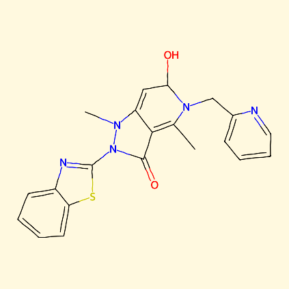 CC1=c2c(n(C)n(-c3nc4ccccc4s3)c2=O)=CC(O)N1Cc1ccccn1